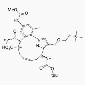 COC(=O)Nc1cc(C)c2c(c1)N(C(=O)C(F)(F)F)[C@@H](C(=O)O)CC=CC[C@H](NC(=O)OC(C)(C)C)c1nc-2cn1COCC[Si](C)(C)C